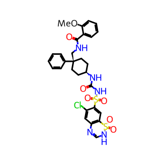 COc1ccccc1C(=O)NC[C@]1(c2ccccc2)CC[C@H](NC(=O)NS(=O)(=O)c2cc3c(cc2Cl)N=CNS3(=O)=O)CC1